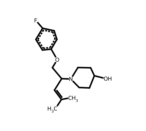 CC(C)=CC(COc1ccc(F)cc1)N1CCC(O)CC1